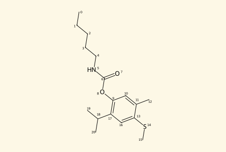 CCCCCNC(=O)Oc1cc(C)c(SC)cc1C(C)C